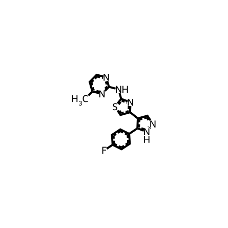 Cc1ccnc(Nc2nc(-c3cn[nH]c3-c3ccc(F)cc3)cs2)n1